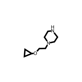 C1CN(CCOC2CC2)CCN1